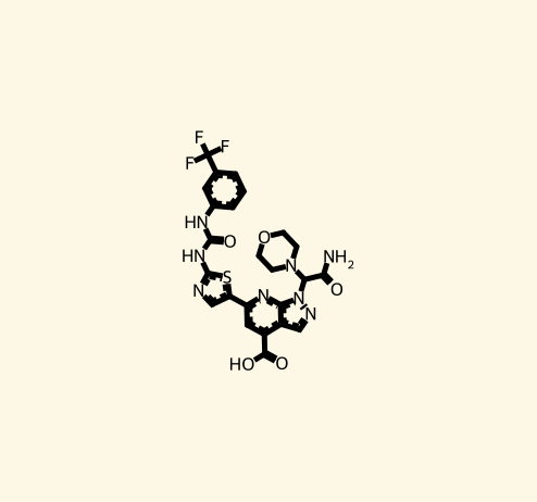 NC(=O)C(N1CCOCC1)n1ncc2c(C(=O)O)cc(-c3cnc(NC(=O)Nc4cccc(C(F)(F)F)c4)s3)nc21